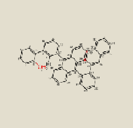 CCc1c(-c2ccccc2O)cccc1-c1c2ccccc2c(-c2ccccc2-c2ccc3ccccc3c2)c2ccccc12